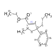 CCCC(/C=C/C(=O)OCC)(CCC)c1ccccc1